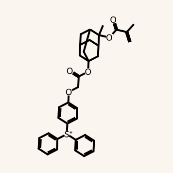 C=C(C)C(=O)OC1(C)C2CC3CC1CC(OC(=O)COc1ccc([S+](c4ccccc4)c4ccccc4)cc1)(C3)C2